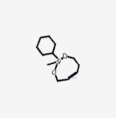 C[Si]1(C2CCCCC2)OC/C=C\CCO1